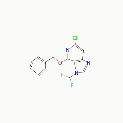 FC(F)n1cnc2cc(Cl)nc(OCc3ccccc3)c21